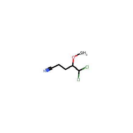 N#CCCC(O[SiH3])C(Cl)Cl